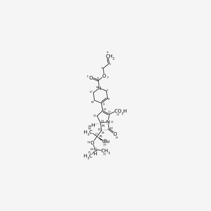 C=CCOC(=O)N1CC=C(C2=C(C(=O)O)N3C(=O)[C@H]([C@@](C)(O[SiH](C)C)C(C)(C)C)[C@H]3C2)CC1